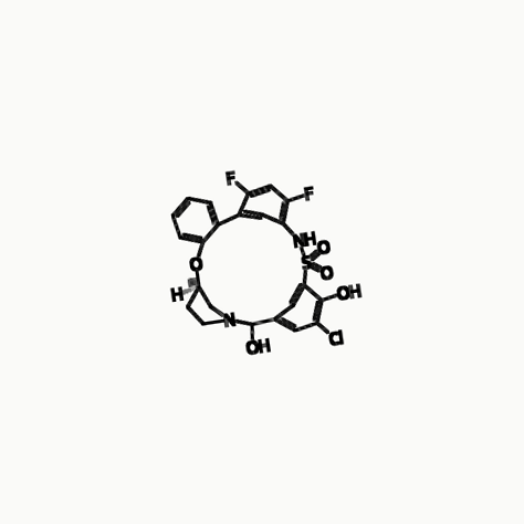 O=S1(=O)Nc2cc(c(F)cc2F)-c2ccccc2O[C@@H]2CCN(C2)C(O)c2cc(Cl)c(O)c1c2